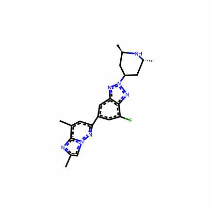 Cc1cn2nc(-c3cc(F)c4nn(C5C[C@@H](C)N[C@H](C)C5)nc4c3)cc(C)c2n1